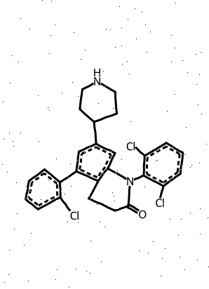 O=C1CCc2c(-c3ccccc3Cl)cc(C3CCNCC3)cc2N1c1c(Cl)cccc1Cl